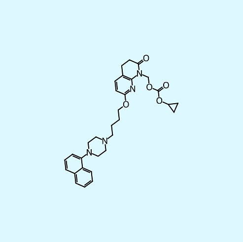 O=C(OCN1C(=O)CCc2ccc(OCCCCN3CCN(c4cccc5ccccc45)CC3)nc21)OC1CC1